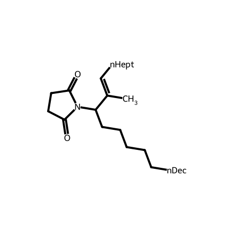 CCCCCCCC=C(C)C(CCCCCCCCCCCCCCC)N1C(=O)CCC1=O